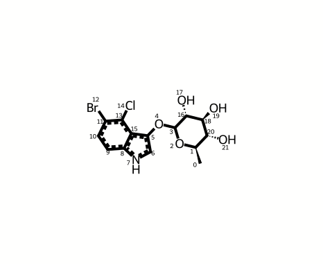 C[C@H]1OC(Oc2c[nH]c3ccc(Br)c(Cl)c23)[C@H](O)[C@@H](O)[C@@H]1O